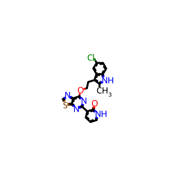 Cc1[nH]c2ccc(Cl)cc2c1CCOc1nc(-c2ccc[nH]c2=O)nc2scnc12